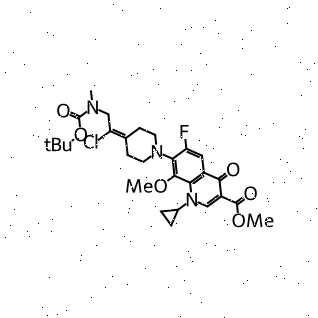 COC(=O)c1cn(C2CC2)c2c(OC)c(N3CCC(=C(Cl)CN(C)C(=O)OC(C)(C)C)CC3)c(F)cc2c1=O